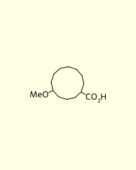 COC1CCCCCCCC(C(=O)O)CCC1